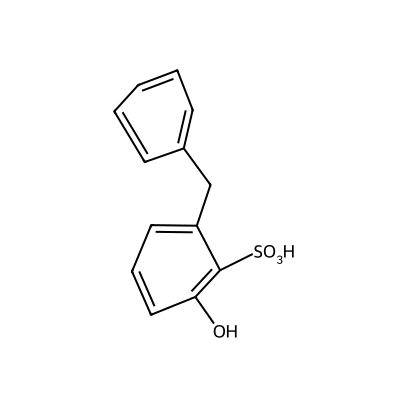 O=S(=O)(O)c1c(O)cccc1Cc1ccccc1